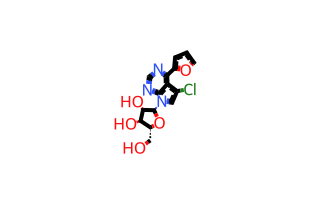 OC[C@H]1O[C@@H](n2cc(Cl)c3c(-c4ccco4)ncnc32)[C@H](O)[C@@H]1O